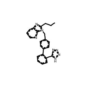 CCCc1nc2cccnc2n1Cc1ccc(-c2ccccc2-c2nnn[nH]2)cc1